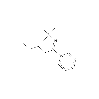 CCCC/C(=N\[Si](C)(C)C)c1ccccc1